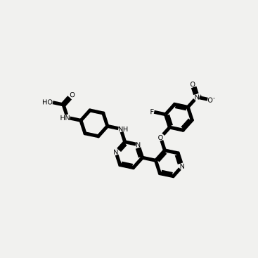 O=C(O)NC1CCC(Nc2nccc(-c3ccncc3Oc3ccc([N+](=O)[O-])cc3F)n2)CC1